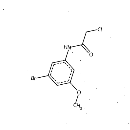 COc1cc(Br)cc(NC(=O)CCl)c1